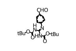 CC(C)(C)OC(=O)NC(=Nc1ccc(C=O)cc1)NC(=O)OC(C)(C)C